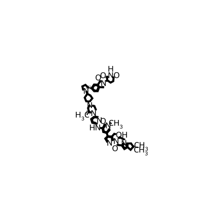 C[C@H]1CN(C2CCC(N3CCC[C@H]3c3ccc4c(c3)C(=O)N(C3CCC(=O)NC3=O)C4)CC2)CCN1c1ccc(Nc2cc(-c3ccnc(N4CCn5c(cc6c5CC(C)(C)C6)C4=O)c3CO)cn(C)c2=O)nc1